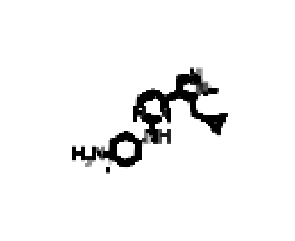 Cn1ncc(-c2ccnc(N[C@H]3CC[C@](C)(N)CC3)n2)c1CC1CC1